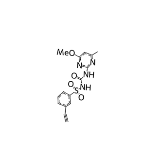 C#Cc1cccc(S(=O)(=O)NC(=O)Nc2nc(C)cc(OC)n2)c1